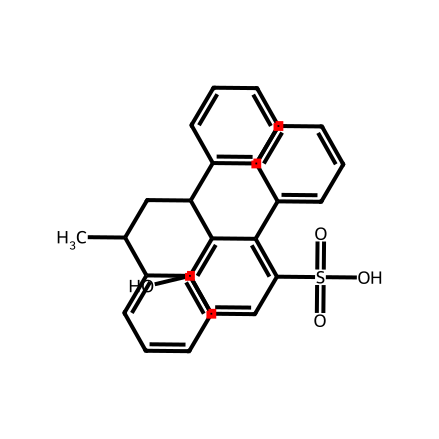 CC(CC(c1ccccc1)c1c(O)ccc(S(=O)(=O)O)c1-c1ccccc1)c1ccccc1